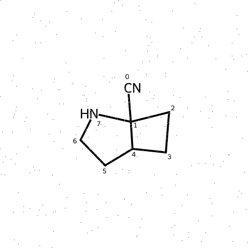 N#CC12CCC1CCN2